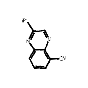 CC(C)c1cnc2c(C#N)cccc2n1